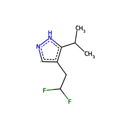 CC(C)c1[nH]n[c]c1CC(F)F